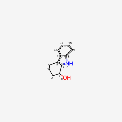 OC1CCCc2c1[nH]c1ccccc21